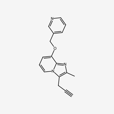 C#CCc1c(C)nc2c(OCc3cccnc3)cccn12